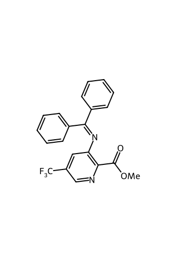 COC(=O)c1ncc(C(F)(F)F)cc1N=C(c1ccccc1)c1ccccc1